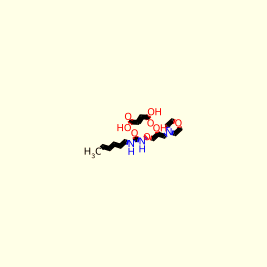 CCCCCCNC(=O)NOCC(O)CN1CCOCC1.O=C(O)C=CC(=O)O